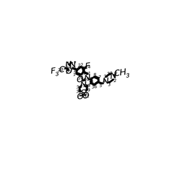 CN1CCN(Cc2ccc(N(Cc3ccc(-c4nnc(C(F)(F)F)o4)cc3F)C(=O)N3CCS(=O)(=O)CC3)cc2)CC1